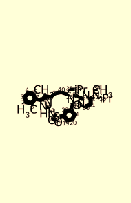 Cc1cccc(C)c1-c1cc2nc(n1)NS(=O)(=O)c1cccc(c1)C(=O)N(Cc1nccc(N(C)C(C)C)n1)[C@H](CC(C)C)CC2